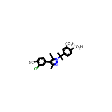 Cc1nn(C(C)(C)c2ccc(C(=O)O)c(C(=O)O)c2)c(C)c1-c1ccc(C#N)c(Cl)c1